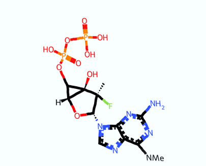 CNc1nc(N)nc2c1ncn2[C@@H]1O[C@@H]2C(OP(=O)(O)OP(=O)(O)O)[C@]2(O)[C@@]1(C)F